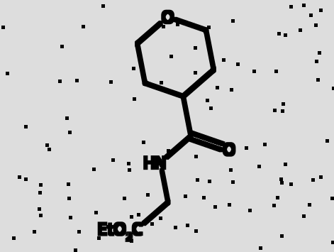 CCOC(=O)CNC(=O)C1CCOCC1